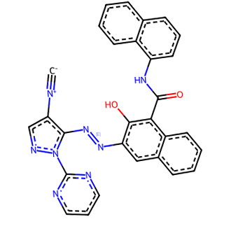 [C-]#[N+]c1cnn(-c2ncccn2)c1/N=N/c1cc2ccccc2c(C(=O)Nc2cccc3ccccc23)c1O